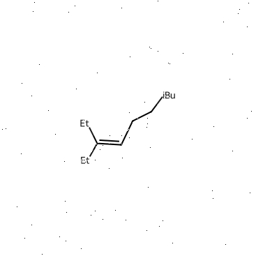 [CH2]C(CC)CCC=C(CC)CC